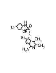 CCc1nc2c(N)nc(C)c(C)c2n1CCCS(=O)(=O)Nc1ccc(Cl)cc1Cl